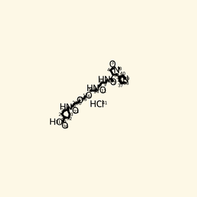 CN1C(=O)C[C@H](C(=O)NCCC(=O)NCCOCCOCCC(=O)NC2CCC(C(=O)O)CC2)[C@H]1c1cccnc1.Cl